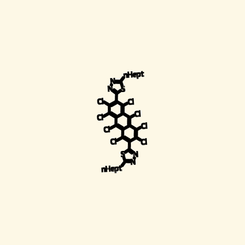 CCCCCCCc1nnc(-c2c(Cl)c(Cl)c3c(Cl)c4c(Cl)c(-c5nnc(CCCCCCC)s5)c(Cl)c(Cl)c4c(Cl)c3c2Cl)s1